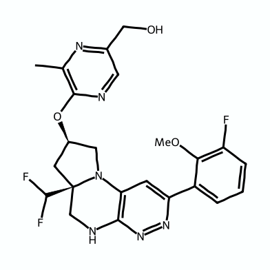 COc1c(F)cccc1-c1cc2c(nn1)NC[C@]1(C(F)F)C[C@@H](Oc3ncc(CO)nc3C)CN21